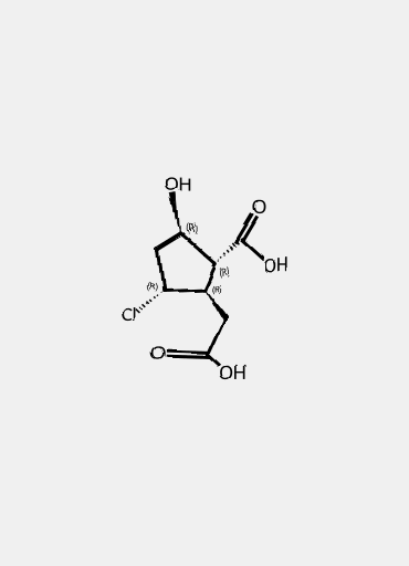 O=C(O)C[C@@H]1[C@@H](C(=O)O)[C@H](O)C[C@H]1Cl